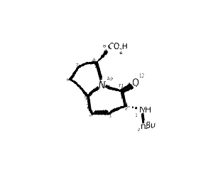 CCCCN[C@@H]1C=CC2CC[C@@H](C(=O)O)N2C1=O